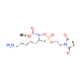 CC(C)(C)OC(=O)NC(CCCCCN)CS(=O)(=O)OCCN1C(=O)C=CC1=O